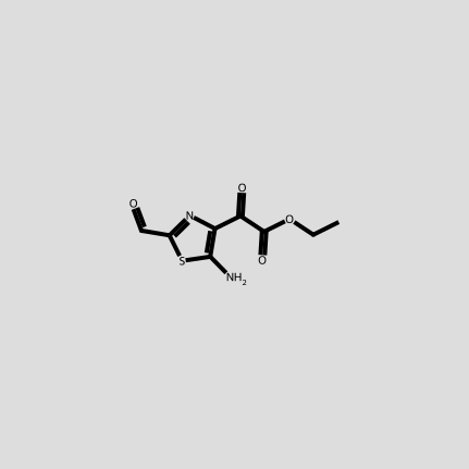 CCOC(=O)C(=O)c1nc(C=O)sc1N